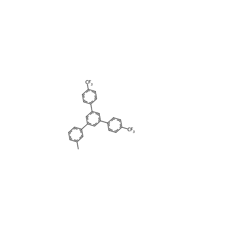 Cc1cccc(-c2cc(-c3ccc(C(F)(F)F)cc3)cc(-c3ccc(C(F)(F)F)cc3)c2)c1